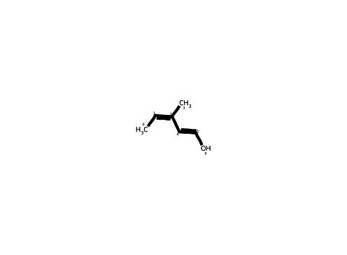 CC=C(C)C=CO